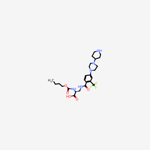 CCCCOC(=O)N[C@@H](CNC(=O)c1ccc(N2CCN(C3CCNCC3)CC2)cc1C(F)(F)F)C(=O)O